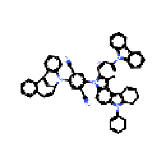 C=C(/C=C\c1c(C)c2c3c4c(n(C5=CC=CCC5)c3ccc2n1-c1cc(C#N)c(N2c3ccccc3C3=CC2C=Cc2ccccc23)cc1C#N)CCC=C4)n1c2ccccc2c2ccccc21